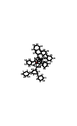 c1ccc(-c2cc(-c3ccccc3)cc(-c3nc4cc(-n5c6ccccc6c6ccc7c8ccccc8cc(-c8nc(-c9ccccc9)nc(-c9ccccc9)n8)c7c65)ccc4o3)c2)cc1